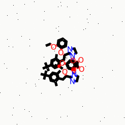 CCOc1ccccc1OC(Cc1c(C)cc(C(C)(C)C)cc1C)C1=NCCN1OC(=O)C(=O)ON1CCN=C1C(Cc1c(C)cc(C(C)(C)C)cc1C)Oc1ccccc1OCC